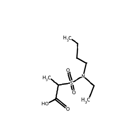 CCCCN(CC)S(=O)(=O)C(C)C(=O)O